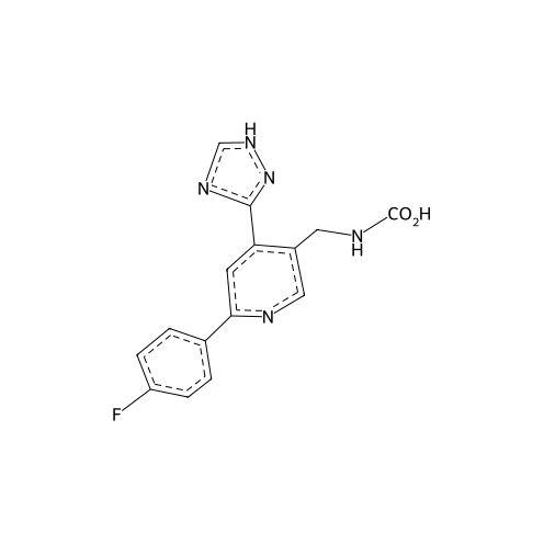 O=C(O)NCc1cnc(-c2ccc(F)cc2)cc1-c1nc[nH]n1